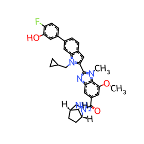 COc1cc(C(=O)N2C[C@H]3CC[C@@H]2[C@@H]3N)cc2nc(-c3cc4ccc(-c5ccc(F)c(O)c5)cc4n3CC3CC3)n(C)c12